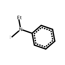 [C]N(CC)c1ccccc1